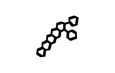 c1ccc(-c2ccc3cc4cc5cc6ccccc6cc5cc4cc3c2-c2ccccc2)cc1